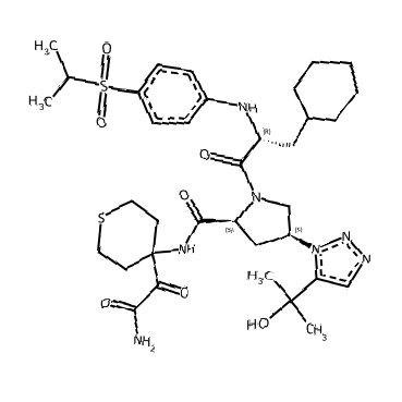 CC(C)S(=O)(=O)c1ccc(N[C@H](CC2CCCCC2)C(=O)N2C[C@@H](n3nncc3C(C)(C)O)C[C@H]2C(=O)NC2(C(=O)C(N)=O)CCSCC2)cc1